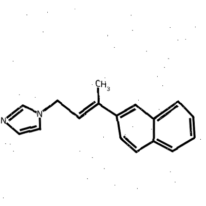 CC(=CCn1ccnc1)c1ccc2ccccc2c1